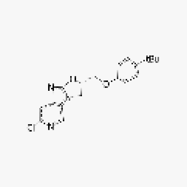 CC(C)(C)c1ccc(OC[C@@H]2Cn3c(nc4cc(Cl)ncc43)O2)cc1